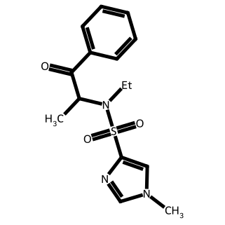 CCN(C(C)C(=O)c1ccccc1)S(=O)(=O)c1cn(C)cn1